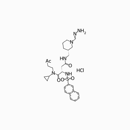 CC(=O)CCN(C(=O)[C@H](CC(=O)NC[C@@H]1CCCN(C=NN)C1)NS(=O)(=O)c1ccc2ccccc2c1)C1CC1.Cl